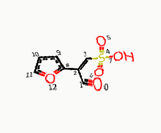 O=CC(=[C]S(=O)(=O)O)c1ccco1